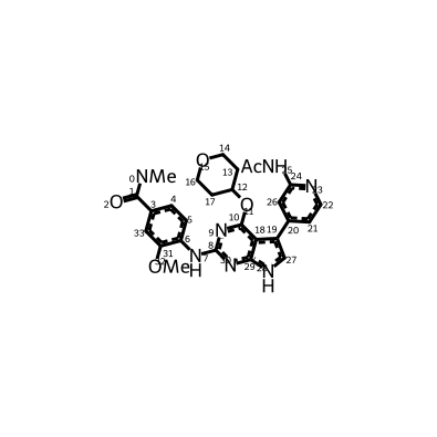 CNC(=O)c1ccc(Nc2nc(OC3CCOCC3)c3c(-c4ccnc(NC(C)=O)c4)c[nH]c3n2)c(OC)c1